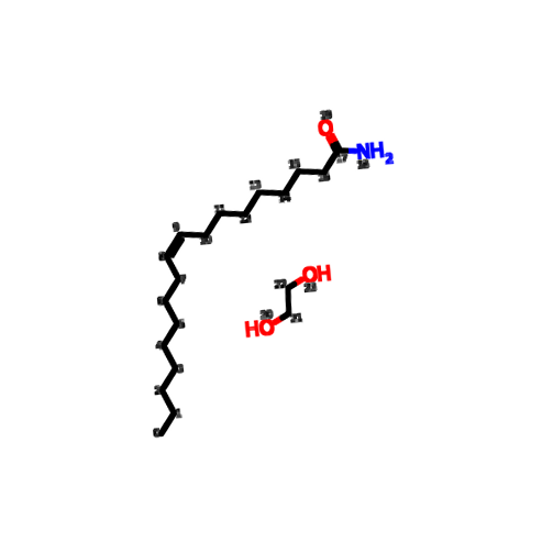 CCCCCCCC/C=C\CCCCCCCC(N)=O.OCCO